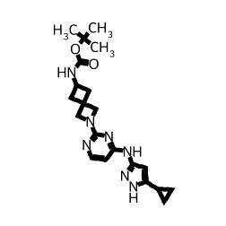 CC(C)(C)OC(=O)NC1CC2(C1)CN(c1nccc(Nc3cc(C4CC4)[nH]n3)n1)C2